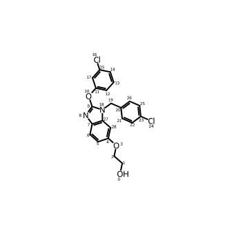 OCCOc1ccc2nc(Oc3cccc(Cl)c3)n(Cc3ccc(Cl)cc3)c2c1